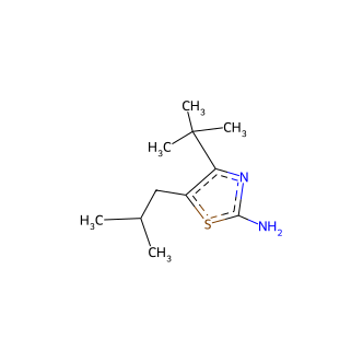 CC(C)Cc1sc(N)nc1C(C)(C)C